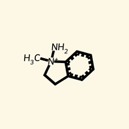 C[N+]1(N)CCc2ccccc21